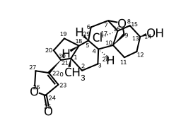 C[C@]12CC[C@H]3[C@@H](CC4OC[C@@]35CC[C@H](O)C[C@]45Cl)[C@H]1CC[C@@H]2C1=CC(=O)OC1